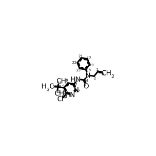 C=CCN(C(=O)Nc1cc(C(C)(C)C)c(Cl)nn1)c1ccccc1